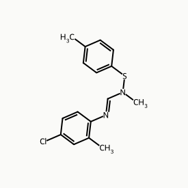 Cc1ccc(SN(C)C=Nc2ccc(Cl)cc2C)cc1